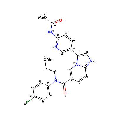 COCCN(C(=O)c1ccc2ncc(-c3ccc(NC(=O)OC)nc3)n2c1)c1ccc(F)cc1